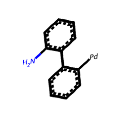 Nc1ccccc1-c1cccc[c]1[Pd]